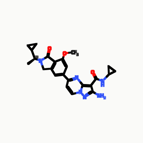 C[C@@H](C1CC1)N1Cc2cc(-c3ccn4nc(N)c(C(=O)NC5CC5)c4n3)cc(OC(F)(F)F)c2C1=O